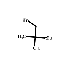 CC(C)CC(C)(C)C(C)(C)C